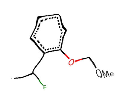 [CH2]C(F)c1ccccc1OCOC